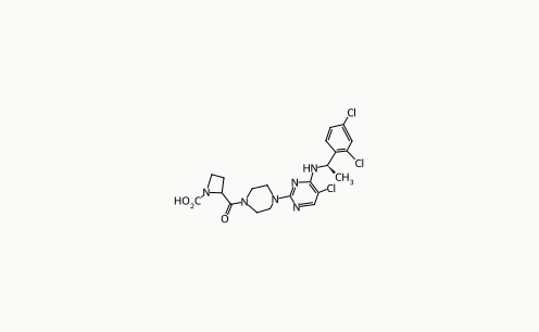 C[C@@H](Nc1nc(N2CCN(C(=O)C3CCN3C(=O)O)CC2)ncc1Cl)c1ccc(Cl)cc1Cl